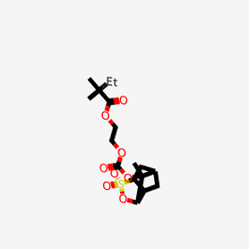 CCC(C)(C)C(=O)OCCOC(=O)OC1(C)C2CC3C1OS(=O)(=O)C3C2